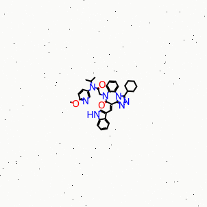 COc1ccc(N(C(=O)CN2C(=O)C(=Cc3c[nH]c4ccccc34)c3nnc(C4CCCCC4)n3-c3ccccc32)C(C)C)cn1